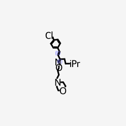 CC(C)CCC(/C=C/c1ccc(Cl)cc1)=N\OCCCN1CCOCC1